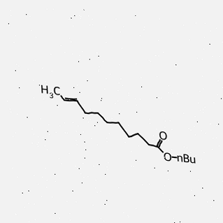 CC=CCCCCCCCC(=O)OCCCC